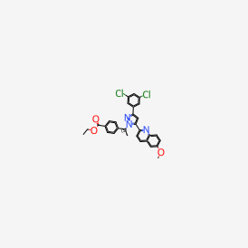 CCOC(=O)c1ccc([C@H](C)n2nc(-c3cc(Cl)cc(Cl)c3)cc2-c2ccc3cc(OC)ccc3n2)cc1